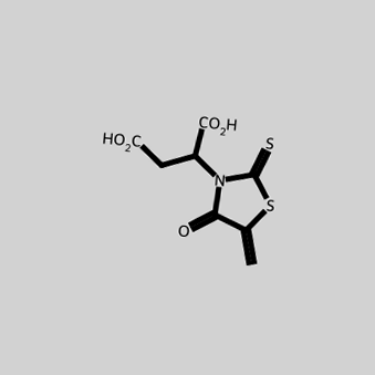 C=C1SC(=S)N(C(CC(=O)O)C(=O)O)C1=O